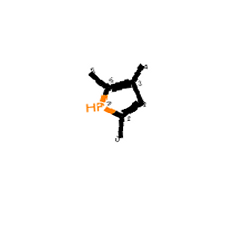 Cc1cc(C)c(C)[pH]1